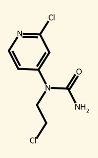 NC(=O)N(CCCl)c1ccnc(Cl)c1